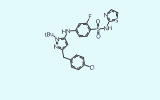 CC(C)(C)n1nc(Cc2ccc(Cl)cc2)cc1Nc1ccc(S(=O)(=O)Nc2nccs2)c(F)c1